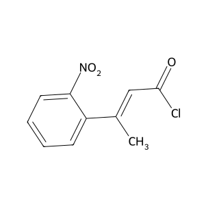 CC(=CC(=O)Cl)c1ccccc1[N+](=O)[O-]